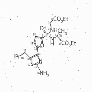 CCOC(=O)CNP(=O)(N[C@@H](C)C(=O)OCC)c1ccc(-c2nc(N)sc2CC(C)C)o1